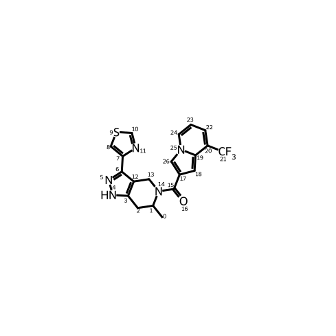 CC1Cc2[nH]nc(-c3cscn3)c2CN1C(=O)c1cc2c(C(F)(F)F)cccn2c1